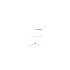 [CH2]C(F)C(F)(F)C(C)(F)F